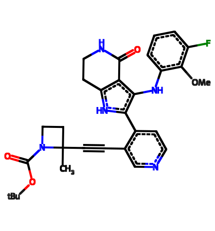 COc1c(F)cccc1Nc1c(-c2ccncc2C#CC2(C)CCN2C(=O)OC(C)(C)C)[nH]c2c1C(=O)NCC2